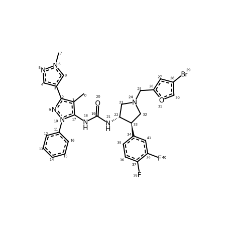 Cc1c(-c2cnn(C)c2)nn(-c2ccccc2)c1NC(=O)N[C@@H]1CN(Cc2cc(Br)co2)C[C@H]1c1ccc(F)c(F)c1